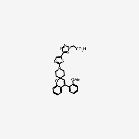 COc1ccccc1C1=CC2(CCN(c3ncc(-c4nnn(CC(=O)O)n4)s3)CC2)Oc2ccccc21